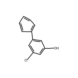 Oc1cc(Cl)cc(-c2ccccc2)c1